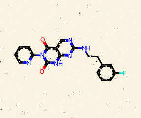 O=c1[nH]c2nc(NCCc3cccc(F)c3)ncc2c(=O)n1-c1ccccn1